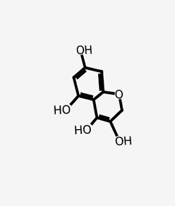 OC1=C(O)c2c(O)cc(O)cc2OC1